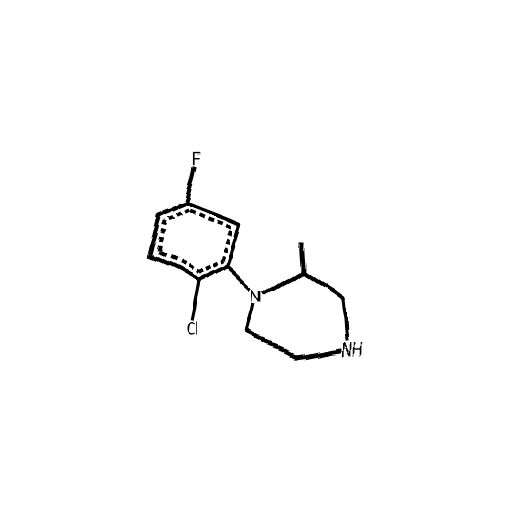 CC1CNCCN1c1cc(F)ccc1Cl